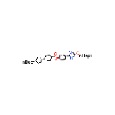 CCCCCCCCCC[C@H]1CC[C@H]([C@H]2CC[C@H](C(=O)Oc3ccc(-c4ncc(OCCCCCCC)cn4)cc3)CC2)CC1